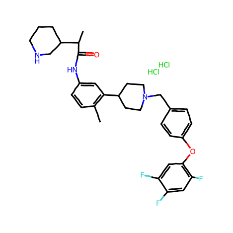 Cc1ccc(NC(=O)C(C)C2CCCNC2)cc1C1CCN(Cc2ccc(Oc3cc(F)c(F)cc3F)cc2)CC1.Cl.Cl